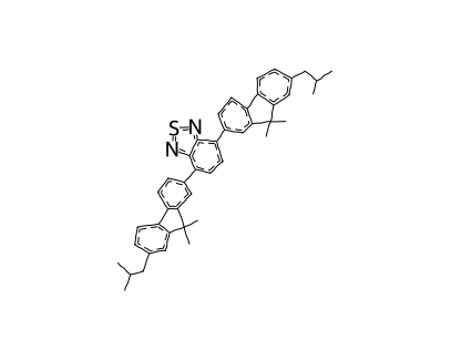 CC(C)Cc1ccc2c(c1)C(C)(C)c1cc(-c3ccc(-c4ccc5c(c4)C(C)(C)c4cc(CC(C)C)ccc4-5)c4nsnc34)ccc1-2